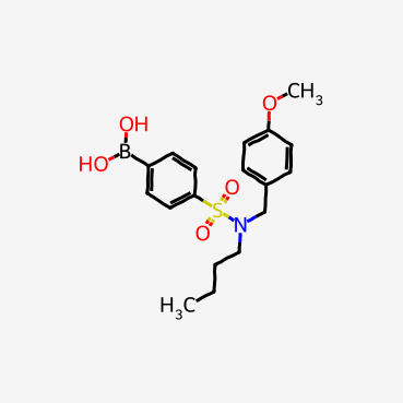 CCCCN(Cc1ccc(OC)cc1)S(=O)(=O)c1ccc(B(O)O)cc1